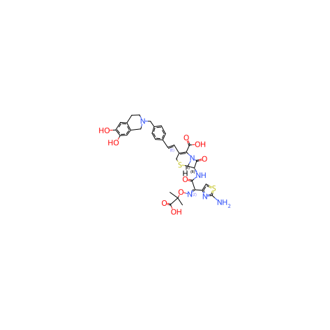 CC(C)(O/N=C(\C(=O)N[C@@H]1C(=O)N2C(C(=O)O)=C(/C=C/c3ccc(CN4CCc5cc(O)c(O)cc5C4)cc3)CS[C@H]12)c1csc(N)n1)C(=O)O